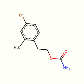 Cc1cc(Br)ccc1CCOC(N)=O